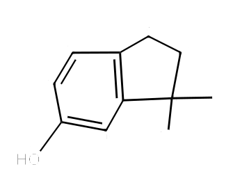 CC1(C)CCc2ccc(O)cc21